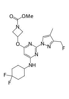 COC(=O)N1CC(Oc2cc(NC3CCC(F)(F)CC3)nc(-n3cc(C)c(CF)n3)n2)C1